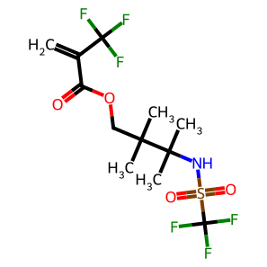 C=C(C(=O)OCC(C)(C)C(C)(C)NS(=O)(=O)C(F)(F)F)C(F)(F)F